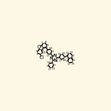 Clc1ccc2oc3cccc(-c4ccc(-c5nc(-c6ccccc6)nc(-c6ccc(-c7cccc8ccccc78)cc6)n5)cc4)c3c2c1